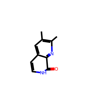 Cc1cc2cc[nH]c(=O)c2nc1C